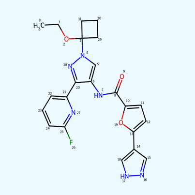 CCOC1(n2cc(NC(=O)c3ccc(-c4cn[nH]c4)o3)c(-c3cccc(F)n3)n2)CCC1